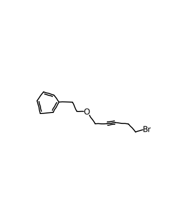 BrCCC#CCOCCc1ccccc1